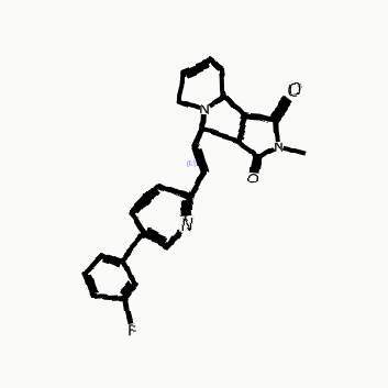 CN1C(=O)C2C(C1=O)C1CC=CCN1C2/C=C/c1ccc(-c2cccc(F)c2)cn1